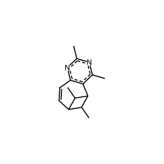 Cc1nc(C)c2c(n1)C=CC1C(C)C2C1C